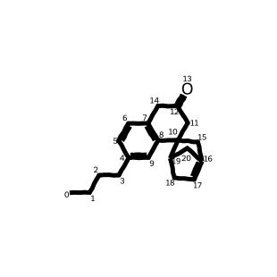 CCCCc1ccc2c(c1)C1(CC(=O)C2)CC2=CCC1C2